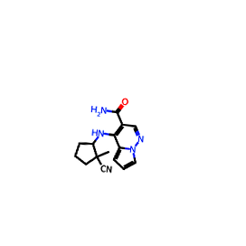 CC1(C#N)CCCC1Nc1c(C(N)=O)cnn2cccc12